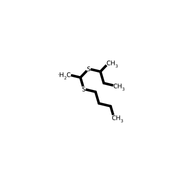 [CH2]C(SCCCC)SC(C)CC